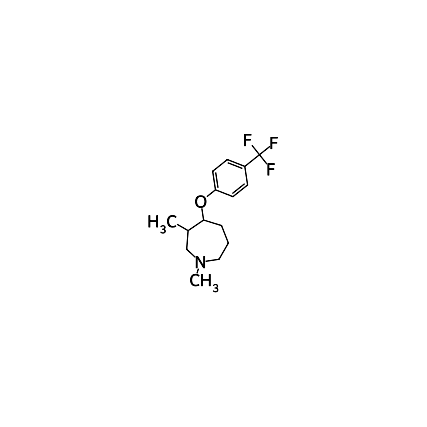 CC1CN(C)CCCC1Oc1ccc(C(F)(F)F)cc1